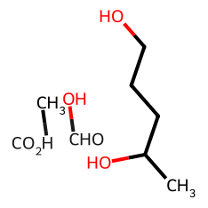 CC(=O)O.CC(O)CCCO.O=CO